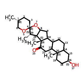 C[C@@H]1CC[C@@]2(OC1)OC1CC3C4CCC5C[C@@H](O)CC[C@]5(C)C4CC(=O)[C@]3(C)C1[C@@H]2C